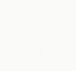 c1ccc(C2CCC(CCCCC3CCCC3)C2)cc1